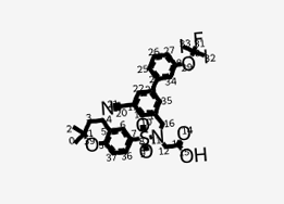 CC1(C)CCc2cc(S(=O)(=O)N(CC(=O)O)Cc3cc(C#N)cc(-c4cccc(OC(F)(I)I)c4)c3)ccc2O1